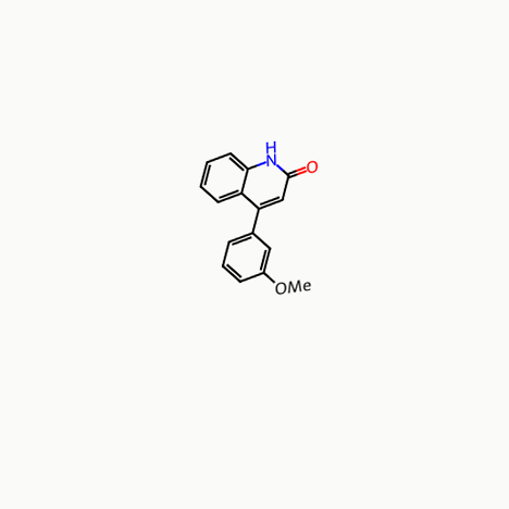 COc1cccc(-c2cc(=O)[nH]c3ccccc23)c1